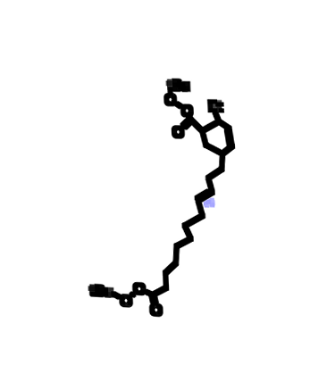 CCC1C=CC(CC/C=C/CCCCCCCC(=O)OOC(C)(C)C)CC1C(=O)OOC(C)(C)C